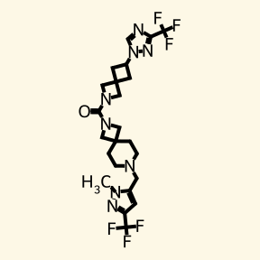 Cn1nc(C(F)(F)F)cc1CN1CCC2(CC1)CN(C(=O)N1CC3(CC(n4cnc(C(F)(F)F)n4)C3)C1)C2